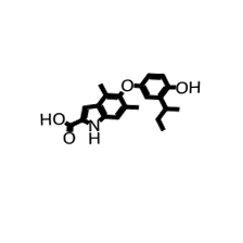 CCC(C)c1cc(Oc2c(C)cc3[nH]c(C(=O)O)cc3c2C)ccc1O